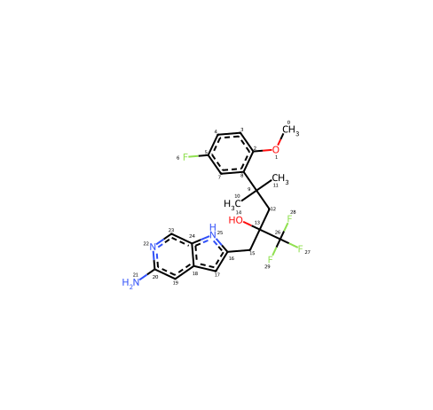 COc1ccc(F)cc1C(C)(C)CC(O)(Cc1cc2cc(N)ncc2[nH]1)C(F)(F)F